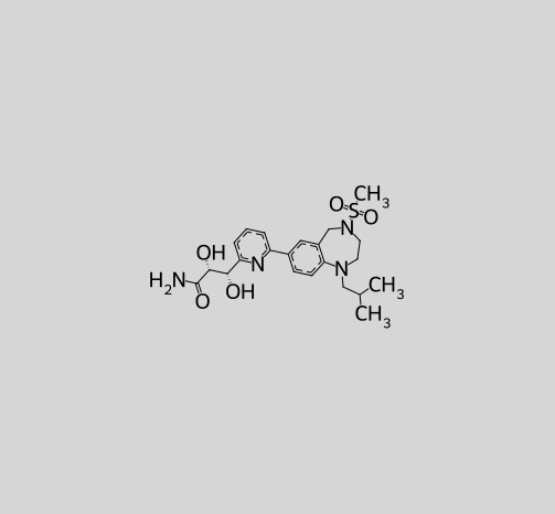 CC(C)CN1CCN(S(C)(=O)=O)Cc2cc(-c3cccc([C@H](O)[C@@H](O)C(N)=O)n3)ccc21